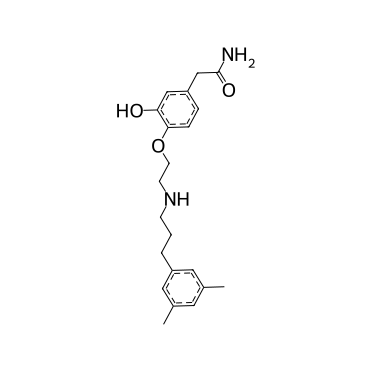 Cc1cc(C)cc(CCCNCCOc2ccc(CC(N)=O)cc2O)c1